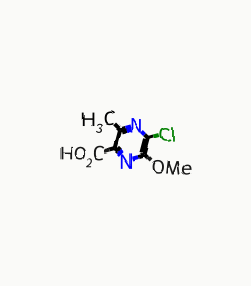 COc1nc(C(=O)O)c(C)nc1Cl